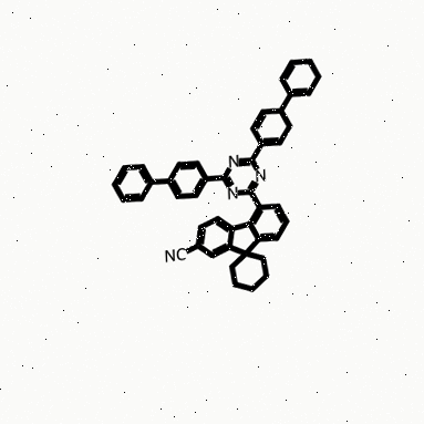 N#Cc1ccc2c(c1)C1(CCCCC1)c1cccc(-c3nc(C4=CCC(C5=CCCC=C5)C=C4)nc(-c4ccc(-c5ccccc5)cc4)n3)c1-2